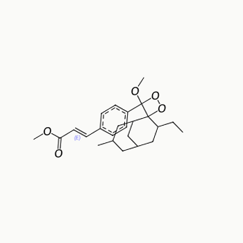 CCC1CC2CC(C)CC(C2)C12OOC2(OC)c1ccc(/C=C/C(=O)OC)cc1